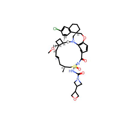 CO[C@H]1/C=C/C[C@H](C)C[S@@](=O)(NC(=O)N2CC(C3COC3)C2)=NC(=O)c2ccc3c(c2)N(C[C@@H]2CC[C@H]21)C[C@@]1(CCCc2cc(Cl)ccc21)CO3